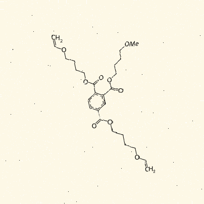 C=COCCCCOC(=O)c1ccc(C(=O)OCCCCOC=C)c(C(=O)OCCCCOC)c1